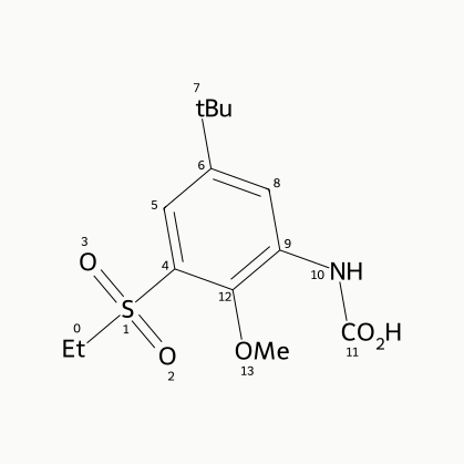 CCS(=O)(=O)c1cc(C(C)(C)C)cc(NC(=O)O)c1OC